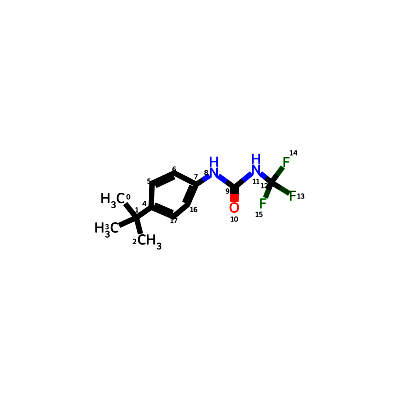 CC(C)(C)c1ccc(NC(=O)NC(F)(F)F)cc1